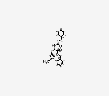 Cc1nnc(C[C@H](NC(=O)OCc2ccccc2)C(=O)OCc2ccccc2)o1